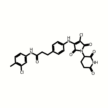 Cc1ccc(NC(=O)CCc2ccc(NC3=C(Cl)C(=O)N(C4CCC(=O)NC4=O)C3=O)cc2)cc1Cl